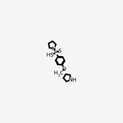 C1CCNC1.COc1ccc(P(=S)(S)N2CCCC2)cc1